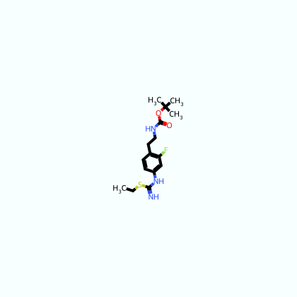 CCSC(=N)Nc1ccc(CCNC(=O)OC(C)(C)C)c(F)c1